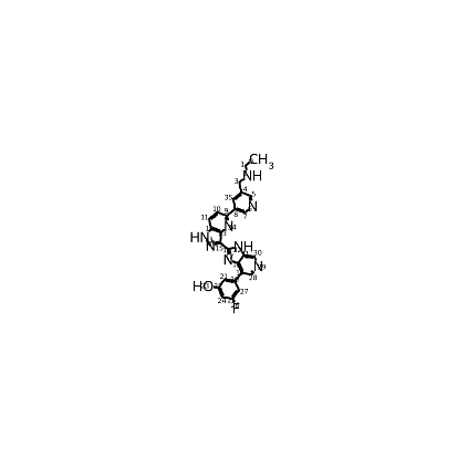 CCNCc1cncc(-c2ccc3[nH]nc(-c4nc5c(-c6cc(O)cc(F)c6)cncc5[nH]4)c3n2)c1